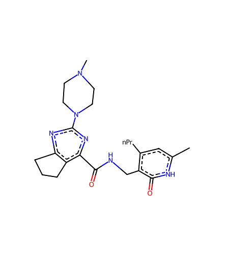 CCCc1cc(C)[nH]c(=O)c1CNC(=O)c1nc(N2CCN(C)CC2)nc2c1CCC2